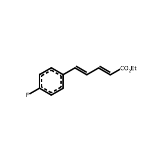 CCOC(=O)C=CC=Cc1ccc(F)cc1